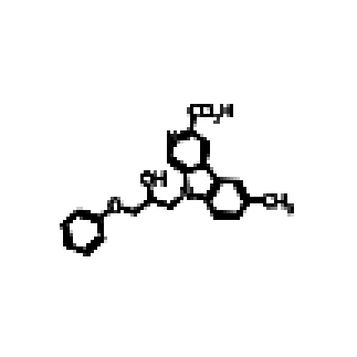 Cc1ccc2c(c1)c1cc(C(=O)O)ncc1n2CC(O)COc1ccccc1